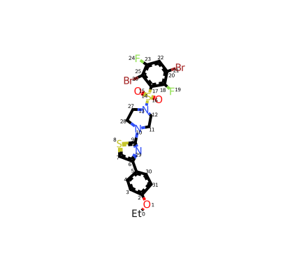 CCOc1ccc(-c2csc(N3CCN(S(=O)(=O)c4c(F)c(Br)cc(F)c4Br)CC3)n2)cc1